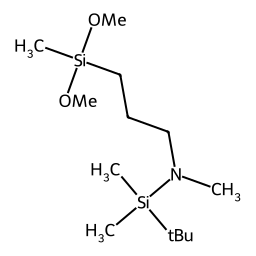 CO[Si](C)(CCCN(C)[Si](C)(C)C(C)(C)C)OC